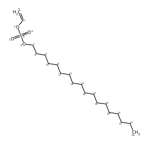 C=COS(=O)(=O)OCCCCCCCCCCCCCCCCCC